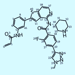 C=CC(=O)Nc1cccc(-c2cc3c(N(C(=O)c4ccc(-c5cn(C)nn5)cc4F)[C@@H]4CCCNC4)nccc3s2)c1